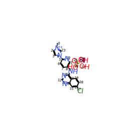 C[n+]1ccn(-c2ccc(Nc3ncnc4cc(Cl)ccc34)cn2)c1.I.O=P(O)(O)O